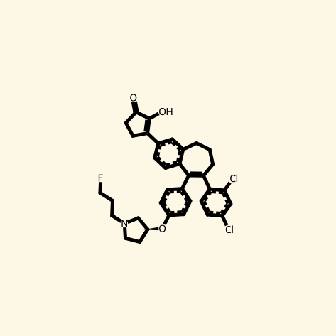 O=C1CCC(c2ccc3c(c2)CCCC(c2ccc(Cl)cc2Cl)=C3c2ccc(O[C@H]3CCN(CCCF)C3)cc2)=C1O